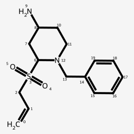 C=CCS(=O)(=O)C1CC(N)CCN1Cc1ccccc1